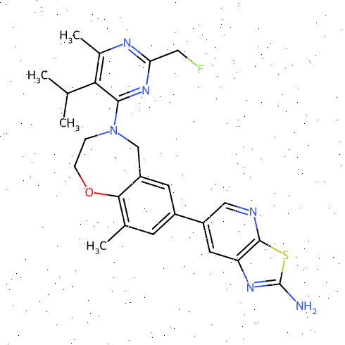 Cc1cc(-c2cnc3sc(N)nc3c2)cc2c1OCCN(c1nc(CF)nc(C)c1C(C)C)C2